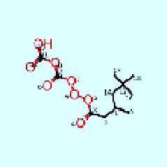 CC(CC(=O)OOOC(=O)OC(=O)O)CC(C)(C)C